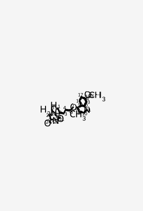 C=C/C(=C\C=C(/C)Oc1ccnc2cc(OC)ccc12)S1(=O)=NC(=O)CN1